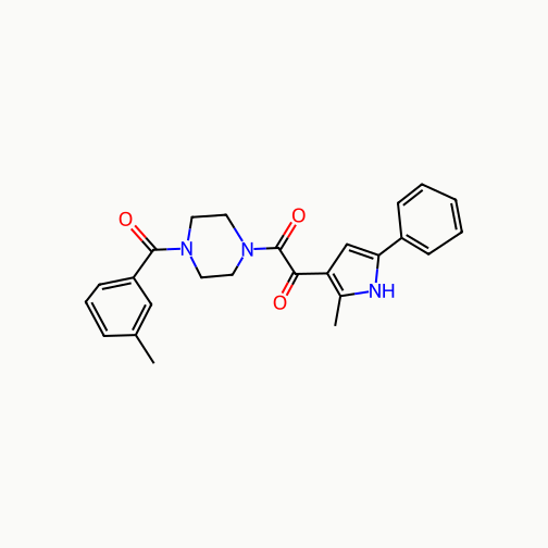 Cc1cccc(C(=O)N2CCN(C(=O)C(=O)c3cc(-c4ccccc4)[nH]c3C)CC2)c1